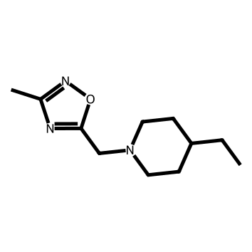 CCC1CCN(Cc2nc(C)no2)CC1